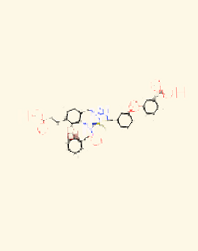 O=C(O)C=Cc1ccc(Cn2nc(-c3cccc(Oc4cccc(C(=O)O)c4)c3)sc2=NC(=O)c2ccccc2)cc1Br